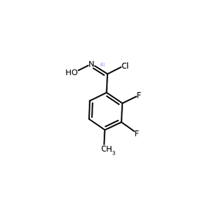 Cc1ccc(/C(Cl)=N\O)c(F)c1F